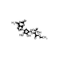 CCOC(=O)C(OC[C@H]1C[C@@H](n2nnc3c(N)nc(Br)nc32)[C@H](O)[C@@H]1O)P(=O)(O)O